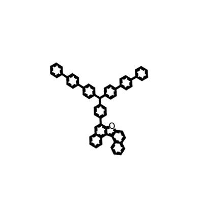 c1ccc(-c2ccc(-c3ccc(C(c4ccc(-c5ccc(-c6ccccc6)cc5)cc4)c4ccc(-c5cc6ccccc6c6c5oc5ccc7ccccc7c56)cc4)cc3)cc2)cc1